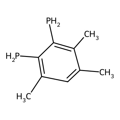 Cc1cc(C)c(P)c(P)c1C